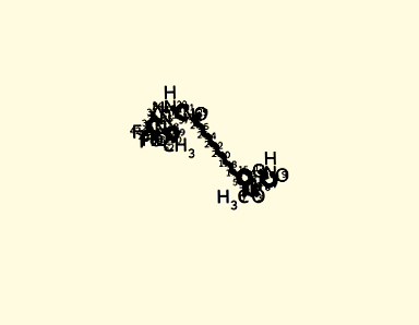 Cn1c(=O)n(C2CCC(=O)NC2=O)c2ccc(CCCCCCCCCCCC(=O)N3CCC(Nc4ncc5cc(C(F)F)c(=O)n([C@@H]6CCC[C@@]6(C)O)c5n4)CC3)cc21